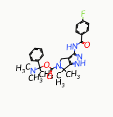 CN(C)C(C)(OC(=O)N1Cc2c(NC(=O)c3ccc(F)cc3)n[nH]c2C1(C)C)c1ccccc1